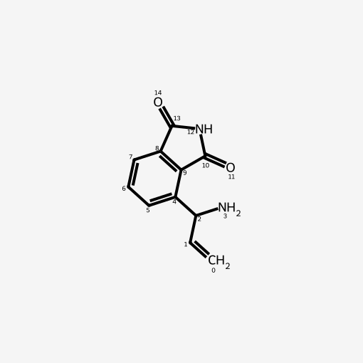 C=CC(N)c1cccc2c1C(=O)NC2=O